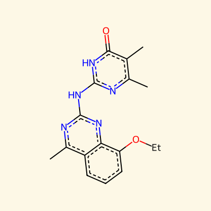 CCOc1cccc2c(C)nc(Nc3nc(C)c(C)c(=O)[nH]3)nc12